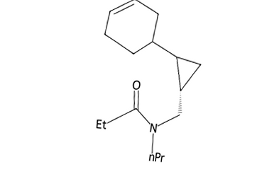 CCCN(C[C@H]1CC1C1CC=CCC1)C(=O)CC